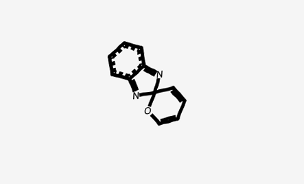 C1=COC2(C=C1)N=c1ccccc1=N2